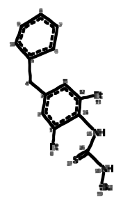 CCc1cc(Cc2ccccc2)cc(CC)c1NC(=S)NC(C)(C)C